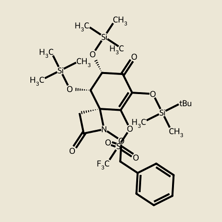 CC(C)(C)[Si](C)(C)OC1=C(OS(=O)(=O)C(F)(F)F)[C@]2(CC(=O)N2OCc2ccccc2)[C@H](O[Si](C)(C)C)[C@H](O[Si](C)(C)C)C1=O